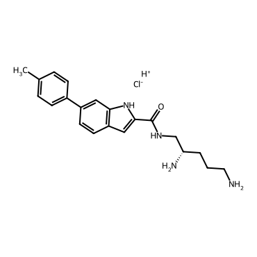 Cc1ccc(-c2ccc3cc(C(=O)NC[C@@H](N)CCCN)[nH]c3c2)cc1.[Cl-].[H+]